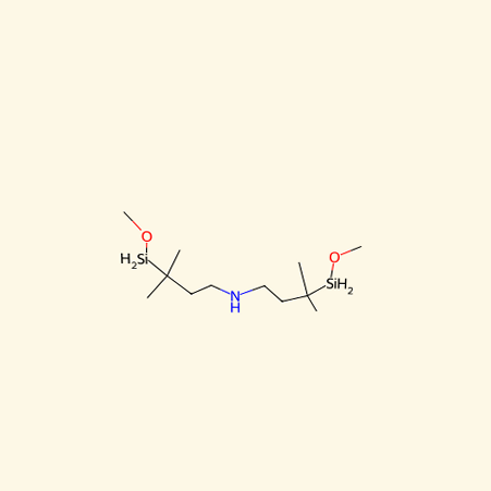 CO[SiH2]C(C)(C)CCNCCC(C)(C)[SiH2]OC